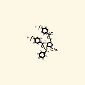 CC(=O)OC1S[C@H](COC(=O)c2ccc(C)cc2)[C@@H](OC(=O)c2ccc(C)cc2)[C@H]1OCc1ccccc1